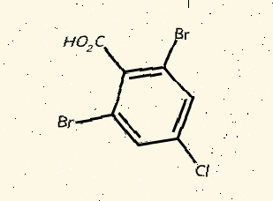 O=C(O)c1c(Br)cc(Cl)cc1Br